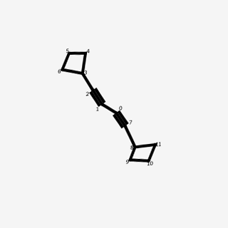 C(C#CC1CCC1)#CC1CCC1